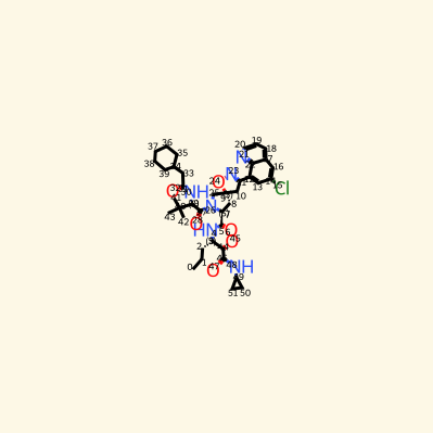 CCC[C@H](NC(=O)[C@@H]1C[C@]2(CC(c3cc(Cl)cc4cccnc34)=NO2)CN1C(=O)[C@@H](NC(=O)CC1CCCCC1)C(C)(C)C)C(=O)C(=O)NC1CC1